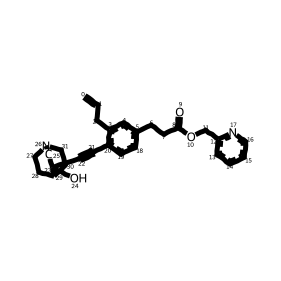 C=CCc1cc(CCC(=O)OCc2ccccn2)ccc1C#CC1(O)CN2CCC1CC2